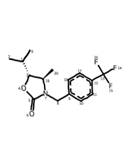 CC(C)[C@H]1OC(=O)N(Cc2ccc(C(F)(F)F)cc2)[C@@H]1C